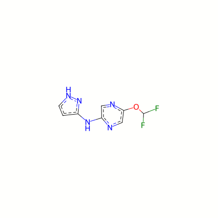 FC(F)Oc1cnc(Nc2cc[nH]n2)cn1